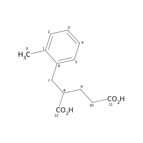 Cc1ccccc1CC(CCC(=O)O)C(=O)O